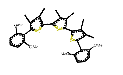 COc1cccc(OC)c1-c1sc(-c2sc(-c3sc(-c4c(OC)cccc4OC)c(C)c3C)c(C)c2C)c(C)c1C